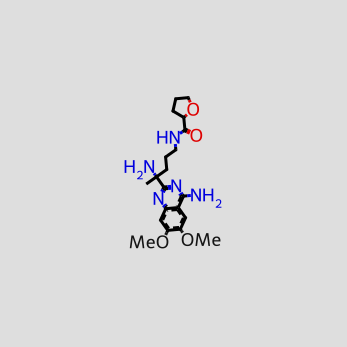 COc1cc2nc(C(C)(N)CCCNC(=O)C3CCCO3)nc(N)c2cc1OC